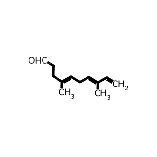 C=C/C(C)=C/C/C=C(\C)CCC=O